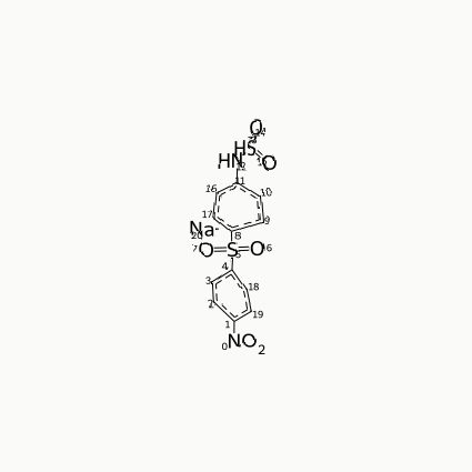 O=[N+]([O-])c1ccc(S(=O)(=O)c2ccc(N[SH](=O)=O)cc2)cc1.[Na]